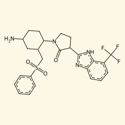 NC1CCC(N2CCC(c3nc4cccc(C(F)(F)F)c4[nH]3)C2=O)C(CS(=O)(=O)c2ccccc2)C1